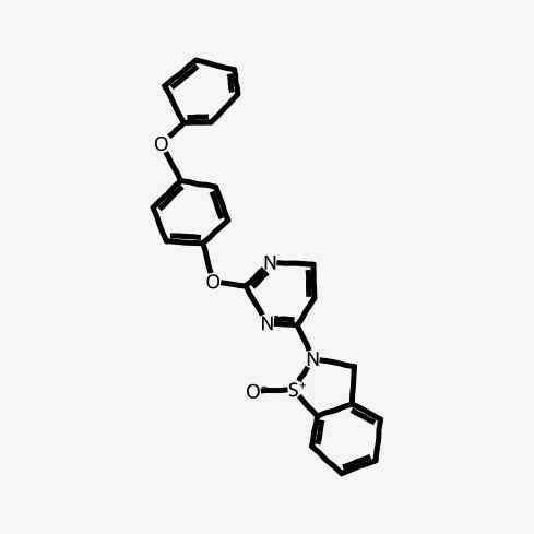 [O-][S+]1c2ccccc2CN1c1ccnc(Oc2ccc(Oc3ccccc3)cc2)n1